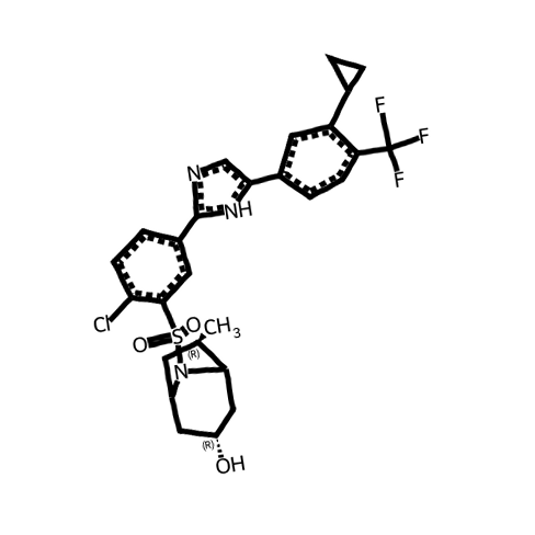 C[C@@H]1CC2C[C@@H](O)CC1N2S(=O)(=O)c1cc(-c2ncc(-c3ccc(C(F)(F)F)c(C4CC4)c3)[nH]2)ccc1Cl